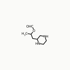 CC(CC1CNCCN1)OC=O